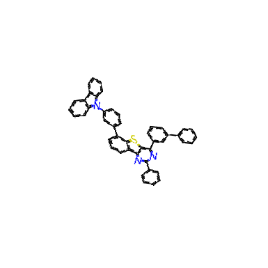 c1ccc(-c2cccc(-c3nc(-c4ccccc4)nc4c3sc3c(-c5cccc(-n6c7ccccc7c7ccccc76)c5)cccc34)c2)cc1